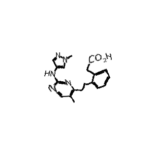 Cc1cnc(Nc2cnn(C)c2)nc1CCc1ccccc1CC(=O)O